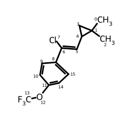 CC1(C)CC1C=C(Cl)c1ccc(OC(F)(F)F)cc1